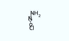 NCCCN1CCC(c2ccc(Cl)cc2)CC1